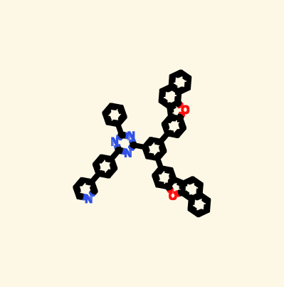 c1ccc(-c2nc(-c3ccc(-c4cccnc4)cc3)nc(-c3cc(-c4ccc5oc6c7ccccc7ccc6c5c4)cc(-c4ccc5oc6c7ccccc7ccc6c5c4)c3)n2)cc1